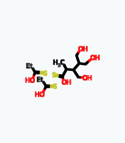 CC(C(O)=S)C(CO)C(CO)CO.CCC(O)=S.CCC(O)=S